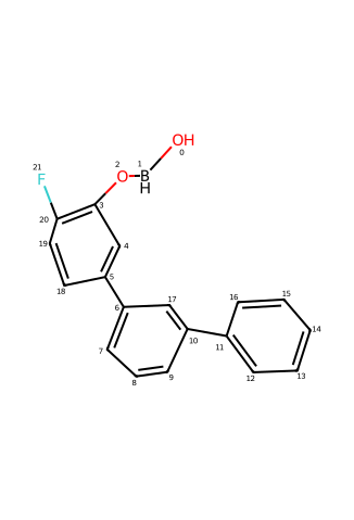 OBOc1cc(-c2cccc(-c3ccccc3)c2)ccc1F